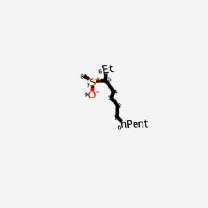 [CH2]CCCCCCCCC(CC)[S+](C)[O-]